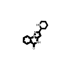 O=c1[nH]c2cc(C3CCCCN3)nn2c2ccccc12